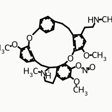 CNCCc1cc(OC)c2cc1CCc1ccc(cc1)Oc1cc(ccc1OC)C[C@H]1c3c(cc(OC)c(ON=O)c3O2)CCN1C